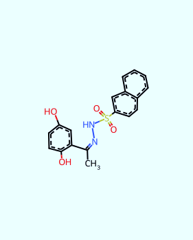 C/C(=N/NS(=O)(=O)c1ccc2ccccc2c1)c1cc(O)ccc1O